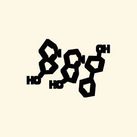 Oc1ccc(-c2ccccc2)cc1.Oc1ccc2ncccc2c1.Oc1ccc2ncccc2c1